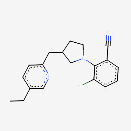 CCc1ccc(CC2CCN(c3c(Cl)cccc3C#N)C2)nc1